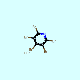 Br.Brc1nc(Br)c(Br)c(Br)c1Br